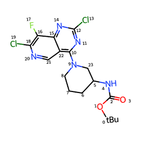 CC(C)(C)OC(=O)NC1CCCN(c2nc(Cl)nc3c(F)c(Cl)ncc23)C1